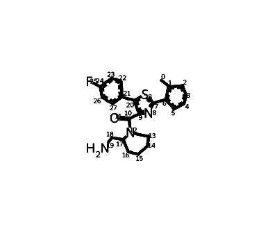 Cc1ccccc1-c1nc(C(=O)N2CCCCC2CN)c(-c2ccc(F)cc2)s1